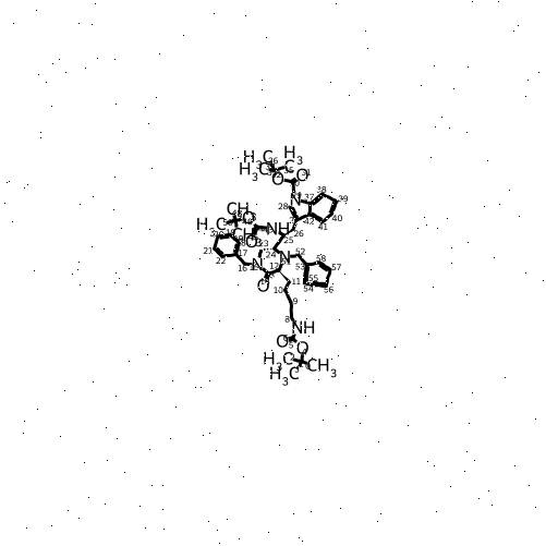 CC(C)(C)OC(=O)NCCCC[C@H]1C(=O)N(Cc2ccccc2)C[C@H]([C@H](Cc2cn(C(=O)OC(C)(C)C)c3ccccc23)NC(=O)OC(C)(C)C)N1Cc1ccccc1